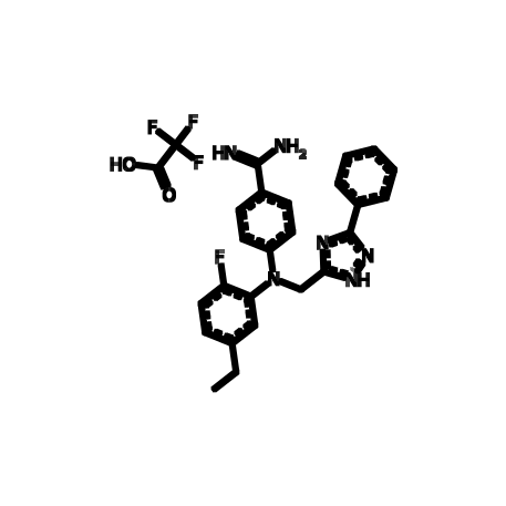 CCc1ccc(F)c(N(Cc2nc(-c3ccccc3)n[nH]2)c2ccc(C(=N)N)cc2)c1.O=C(O)C(F)(F)F